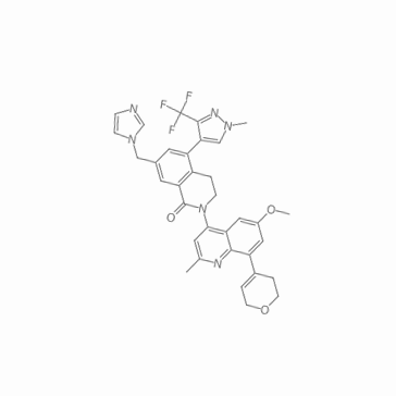 COc1cc(C2=CCOCC2)c2nc(C)cc(N3CCc4c(cc(Cn5ccnc5)cc4-c4cn(C)nc4C(F)(F)F)C3=O)c2c1